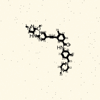 COc1nn(C)cc1Nc1ncc(C#Cc2cc(C(=O)Nc3ccc(CN4CCN(C)CC4)c(F)c3)ccc2C)cn1